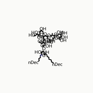 CCCCCCCCCCCCC/C=C/[C@@H](O)[C@H](CO[C@@H]1OC(CO)[C@@H](O[C@@H]2OC(CO)[C@H](O[C@@H]3OC(CO)[C@H](O)[C@H](O[C@@H]4OC(CO)[C@H](O)[C@H](O)C4O)C3C)[C@H](OC3C[C@@H](O)[C@@H](C)C([C@H](O)[C@H](O)CO)O3)C2O)[C@H](O)C1O)NC(=O)CCCCCCCCCCCCCCCCC